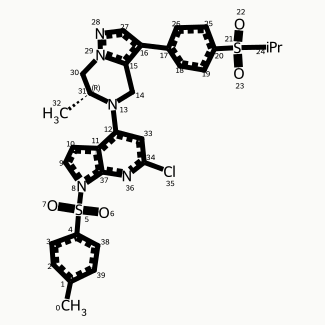 Cc1ccc(S(=O)(=O)n2ccc3c(N4Cc5c(-c6ccc(S(=O)(=O)C(C)C)cc6)cnn5C[C@H]4C)cc(Cl)nc32)cc1